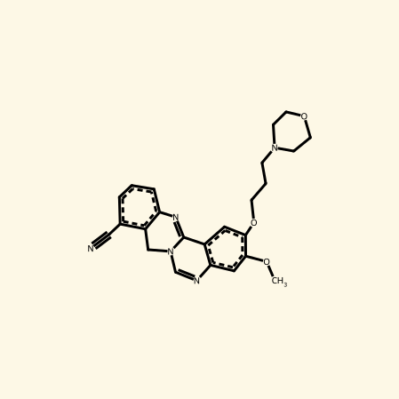 COc1cc2c(cc1OCCCN1CCOCC1)C1=Nc3cccc(C#N)c3CN1C=N2